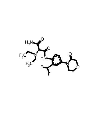 NC(=O)[C@@H](C(=O)Nc1ccc(N2CCOCC2=O)cc1C(F)F)N(CC(F)(F)F)CC(F)(F)F